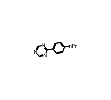 CCCc1ccc(-c2ncncn2)cc1